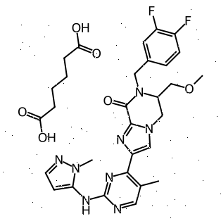 COCC1Cn2cc(-c3nc(Nc4ccnn4C)ncc3C)nc2C(=O)N1Cc1ccc(F)c(F)c1.O=C(O)CCCCC(=O)O